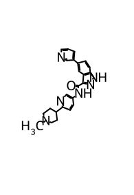 CN1CCC(c2ccc(NC(=O)c3n[nH]c4ccc(-c5cccnc5)cc34)cn2)CC1